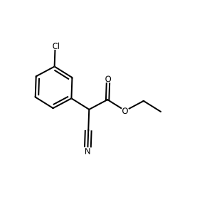 CCOC(=O)C(C#N)c1cccc(Cl)c1